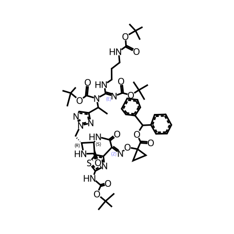 CC(c1cnn(C[C@H]2NC(=O)[C@H]2NC(=O)/C(=N\OC2(C(=O)OC(c3ccccc3)c3ccccc3)CC2)c2csc(NC(=O)OC(C)(C)C)n2)n1)N(C(=O)OC(C)(C)C)/C(=N/C(=O)OC(C)(C)C)NCCCNC(=O)OC(C)(C)C